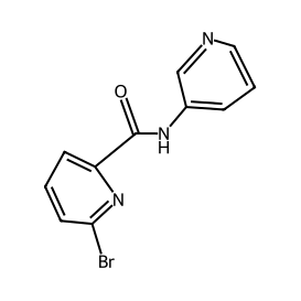 O=C(Nc1cccnc1)c1cccc(Br)n1